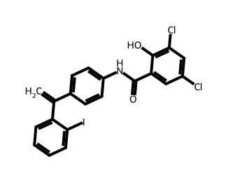 C=C(c1ccc(NC(=O)c2cc(Cl)cc(Cl)c2O)cc1)c1ccccc1I